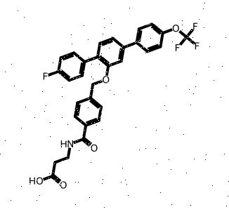 O=C(O)CCNC(=O)c1ccc(COc2cc(-c3ccc(OC(F)(F)F)cc3)ccc2-c2ccc(F)cc2)cc1